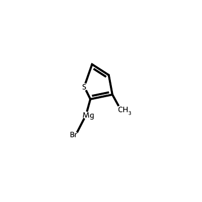 Cc1ccs[c]1[Mg][Br]